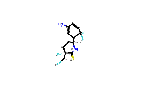 C[C@@]1(C2C=C(N)C=CC2(F)F)CC[C@](F)(CF)C(=S)N1